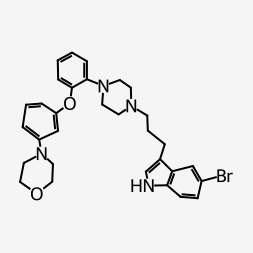 Brc1ccc2[nH]cc(CCCN3CCN(c4ccccc4Oc4cccc(N5CCOCC5)c4)CC3)c2c1